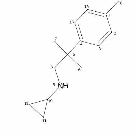 Cc1ccc(C(C)(C)CNC2CC2)cc1